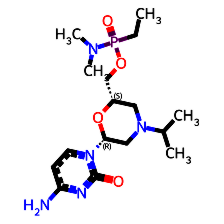 CCP(=O)(OC[C@@H]1CN(C(C)C)C[C@H](n2ccc(N)nc2=O)O1)N(C)C